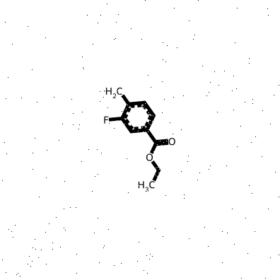 [CH2]c1ccc(C(=O)OCC)cc1F